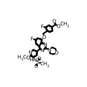 COC(=O)c1ccc(COc2cc(F)cc3c(-c4cnc(OC)c(NS(C)(=O)=O)c4)nc(N4CCOCC4)nc23)c(F)c1